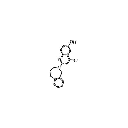 Oc1ccc2nc(N3CCCc4ccccc4C3)cc(Cl)c2c1